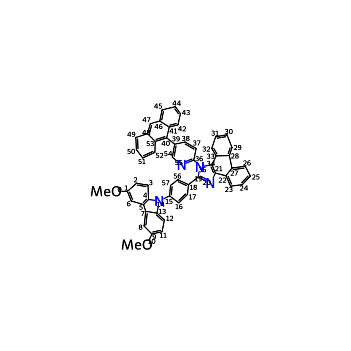 COc1ccc2c(c1)c1cc(OC)ccc1n2-c1ccc(-c2nc3c4ccccc4c4ccccc4c3n2-c2ccc(-c3c4ccccc4cc4ccccc34)cn2)cc1